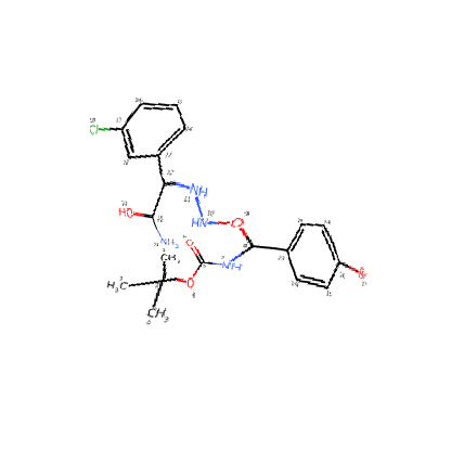 CC(C)(C)OC(=O)NC(ONNC(c1cccc(Cl)c1)C(N)O)c1ccc(Br)cc1